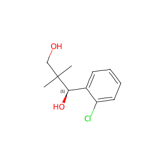 CC(C)(CO)[C@H](O)c1ccccc1Cl